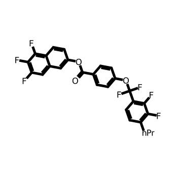 CCCc1ccc(C(F)(F)Oc2ccc(C(=O)Oc3ccc4c(F)c(F)c(F)cc4c3)cc2)c(F)c1F